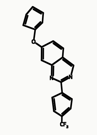 FC(F)(F)c1ccc(-c2ncc3ccc(Oc4ccccc4)cc3n2)cc1